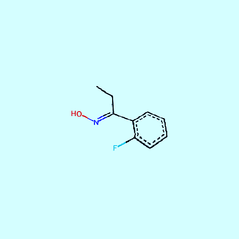 CCC(=NO)c1ccccc1F